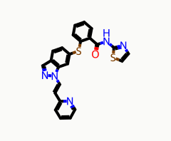 O=C(Nc1nccs1)c1ccccc1Sc1ccc2cnn(C=Cc3ccccn3)c2c1